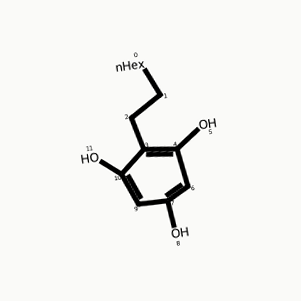 CCCCCCCCc1c(O)cc(O)cc1O